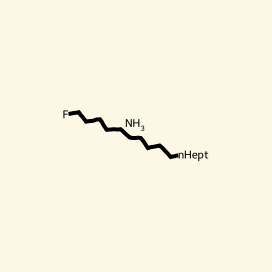 CCCCCCCCCCCCCCCCCF.N